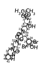 CC(C)S(=O)(=O)N1CCC(O)(C2CCN(C(=O)[C@@H](Cc3cc(Br)c(O)c(Br)c3)OC(=O)N3CCC(N4CCc5ccccc5NC4=O)CC3)CC2)CC1